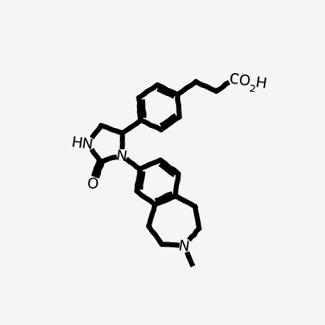 CN1CCc2ccc(N3C(=O)NCC3c3ccc(CCC(=O)O)cc3)cc2CC1